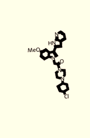 COC1=CC2C(c3cc4cccnc4[nH]3)=CN(CC(=O)N3CCN(C4C=CC(Cl)CC4)CC3)C2C=C1